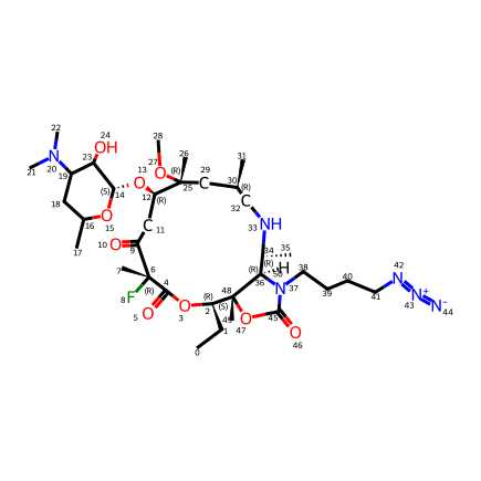 CC[C@H]1OC(=O)[C@](C)(F)C(=O)C[C@@H](O[C@@H]2OC(C)CC(N(C)C)C2O)[C@](C)(OC)C[C@@H](C)CN[C@H](C)[C@H]2N(CCCCN=[N+]=[N-])C(=O)O[C@]12C